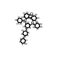 c1ccc(-c2ccc(-c3cc4cc(c3)N(c3ccccc3)c3cccc5oc6cccc(c6c35)N4c3ccccc3)cc2)cc1